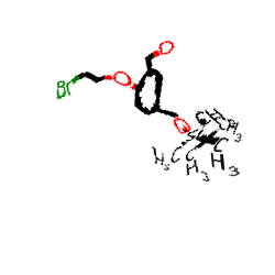 CC(C)(C)[Si](C)(C)OCc1ccc(OCCBr)c(C=O)c1